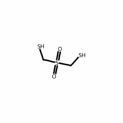 O=S(=O)(CS)CS